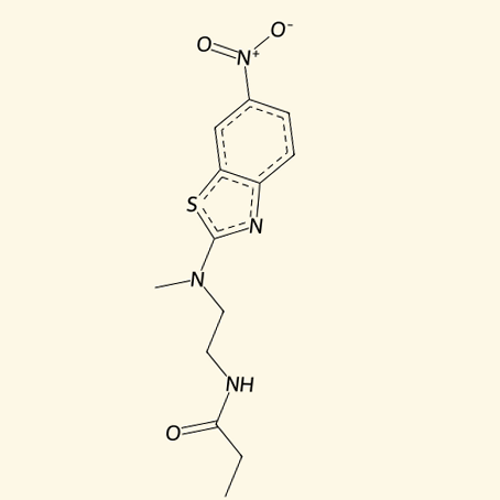 CCC(=O)NCCN(C)c1nc2ccc([N+](=O)[O-])cc2s1